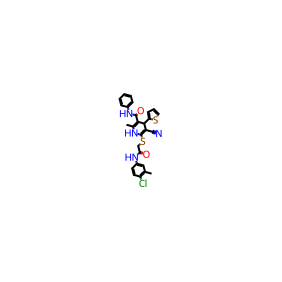 CC1=C(C(=O)Nc2ccccc2)C(c2cccs2)C(C#N)=C(SCC(=O)Nc2ccc(Cl)c(C)c2)N1